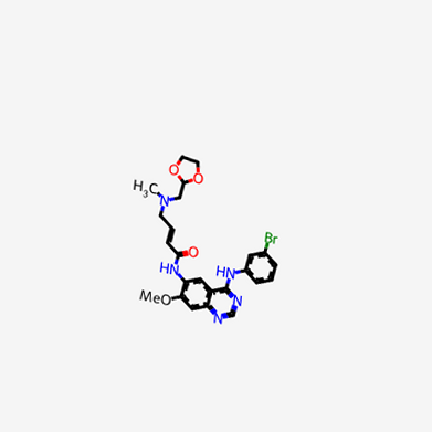 COc1cc2ncnc(Nc3cccc(Br)c3)c2cc1NC(=O)C=CCN(C)CC1OCCO1